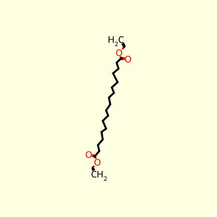 C=COC(=O)CCCCCCCCCCCCCCCCC(=O)OC=C